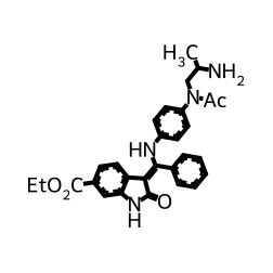 CCOC(=O)c1ccc2c(c1)NC(=O)C2=C(Nc1ccc(N(CC(C)N)C(C)=O)cc1)c1ccccc1